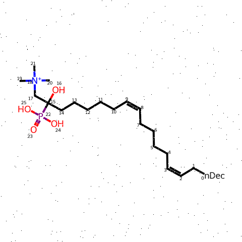 CCCCCCCCCCC/C=C\CCCC/C=C\CCCCCC(O)(C[N+](C)(C)C)P(=O)(O)O